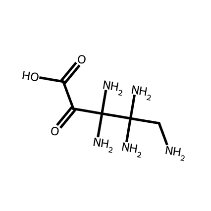 NCC(N)(N)C(N)(N)C(=O)C(=O)O